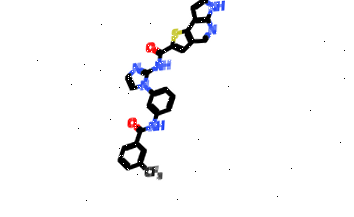 O=C(Nc1cccc(-n2ccnc2NC(=O)c2cc3cnc4[nH]ccc4c3s2)c1)c1cccc(C(F)(F)F)c1